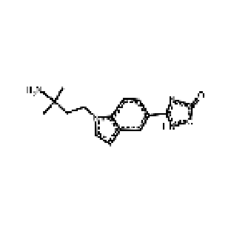 CC(C)(N)CCn1ccc2cc(-c3nc(=O)o[nH]3)ccc21